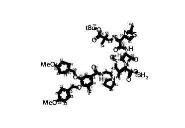 BOC(=O)C1=C(C[N+]2(CCNC(=O)c3cc(F)c(OCc4ccc(OC)cc4)c(OCc4ccc(OC)cc4)c3)CCCC2)C[S+]([O-])[C@@H]2[C@H](NC(=O)/C(=N\OC(C)(C)C(=O)OC(C)(C)C)c3csc(C)n3)C(=O)N12